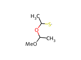 COC(C)OC(C)[S]